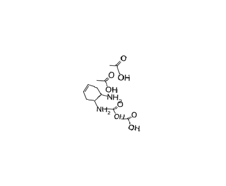 CC(=O)O.CC(=O)O.CC(=O)O.CC(=O)O.NC1CC=CCC1N